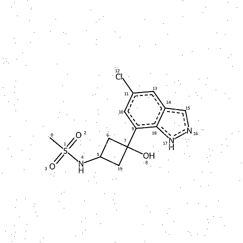 CS(=O)(=O)NC1CC(O)(c2cc(Cl)cc3cn[nH]c23)C1